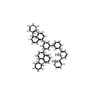 C1=CCNC(C2C=CC=C(c3cccc(-c4cc(-c5ccc6c7c(cccc57)C5=C6CCC=C5)cc(-c5ccc6c7c(cccc57)-c5ccccc5-6)c4)c3)N2)=C1